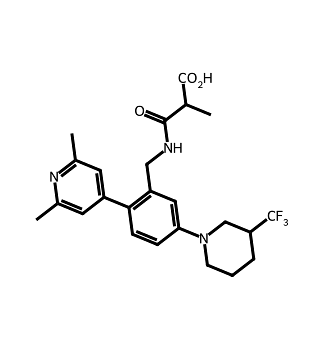 Cc1cc(-c2ccc(N3CCCC(C(F)(F)F)C3)cc2CNC(=O)C(C)C(=O)O)cc(C)n1